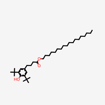 CCCCCCCCCCCCCCCCCCOC(=O)CCCc1cc(C(C)(C)C)c(O)c(C(C)(C)C)c1